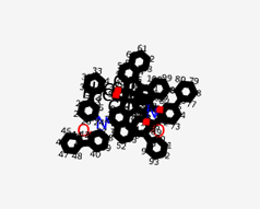 CC(C)(C)C1(C2(C(C)(C)C)c3ccc4ccccc4c3-c3c2cc(N(c2cccc(-c4ccccc4)c2)c2cccc4c2oc2ccccc24)c2ccccc32)c2ccc3ccccc3c2-c2c1cc(N(c1cccc(-c3ccccc3)c1)c1cccc3c1oc1ccccc13)c1ccccc21